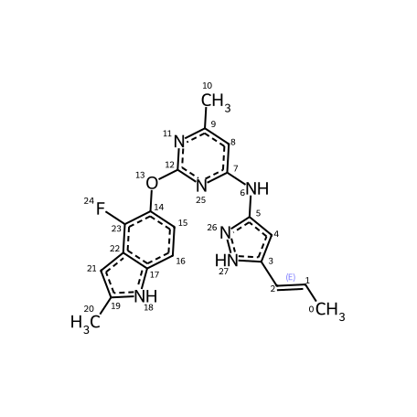 C/C=C/c1cc(Nc2cc(C)nc(Oc3ccc4[nH]c(C)cc4c3F)n2)n[nH]1